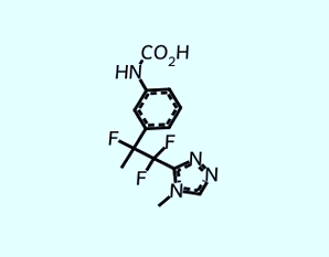 Cn1cnnc1C(F)(F)C(C)(F)c1cccc(NC(=O)O)c1